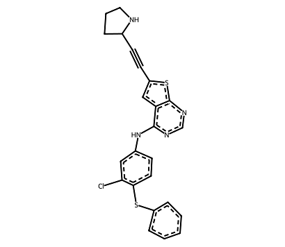 Clc1cc(Nc2ncnc3sc(C#CC4CCCN4)cc23)ccc1Sc1ccccc1